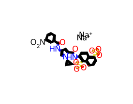 O=C(Nc1cc(C(=O)Nc2ccc3c(S(=O)(=O)[O-])cccc3c2S(=O)(=O)[O-])n(C2CC2)c1)c1cccc([N+](=O)[O-])c1.[Na+].[Na+]